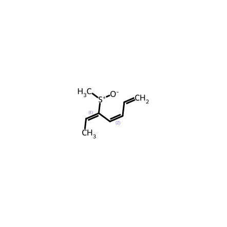 C=C/C=C\C(=C/C)[S+](C)[O-]